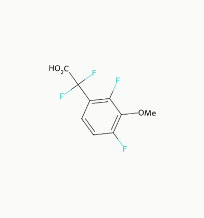 COc1c(F)ccc(C(F)(F)C(=O)O)c1F